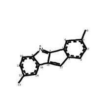 Cc1ccc2c(c1)C1=Nc3ccc(C)cc3C1=C2